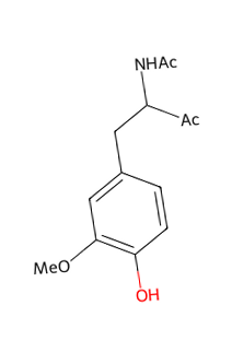 COc1cc(CC(NC(C)=O)C(C)=O)ccc1O